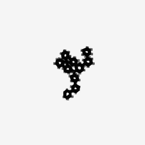 C1=CCC(c2cccc(-c3ccc(N(c4ccc(-c5cccc(-c6ccccc6)c5)cc4)c4ccc5c(c4)C4(c6ccccc6-c6ccccc64)c4ccccc4-5)cc3)c2)C=C1